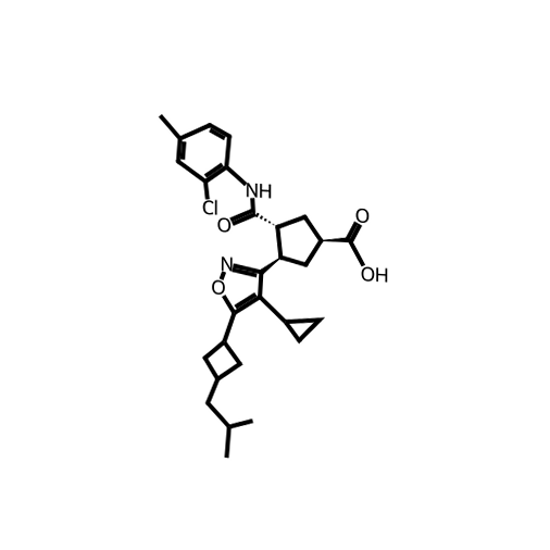 Cc1ccc(NC(=O)[C@@H]2C[C@@H](C(=O)O)C[C@H]2c2noc(C3CC(CC(C)C)C3)c2C2CC2)c(Cl)c1